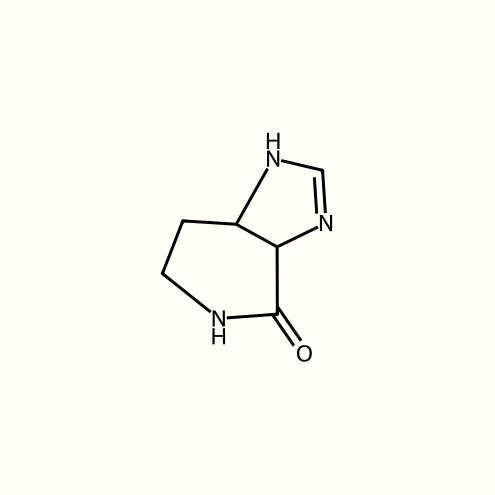 O=C1NCCC2NC=NC12